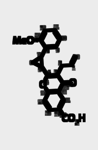 C=CCc1c(C2CC2c2ccccc2OC)oc2ccc(C(=O)O)cc2c1=O